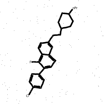 CCCC1CCC(CCc2ccc3c(F)c(-c4ccc(Cl)cc4)ccc3c2)CC1